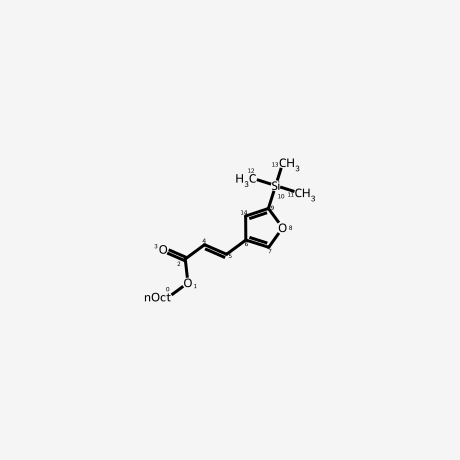 CCCCCCCCOC(=O)C=Cc1coc([Si](C)(C)C)c1